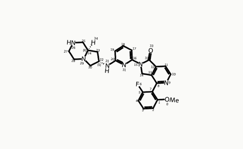 COc1cccc(F)c1-c1nccc2c1CN(c1cccc(N[C@H]3C[C@@H]4CNCCN4C3)n1)C2=O